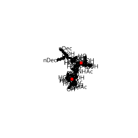 CCCCCCCCCCCCC/C=C/[C@@H](O)[C@H](CO[C@@H]1OC(CO)[C@@H](O[C@@H]2OC(CO)[C@H](O[C@@H]3OC(CO)[C@H](O)[C@H](O[C@@H]4OC(CO)[C@H](O[C@@H]5OC(CO)[C@H](O)[C@H](O)C5NC(C)=O)[C@H](O[C@]5(C(=O)O)CC(O)[C@@H](NC(C)=O)C([C@H](O)[C@H](O)CO)O5)C4O)C3NC(C)=O)[C@H](O[C@]3(C(=O)O)CC(O)[C@@H](NC(=O)CO)C([C@H](O)[C@H](O)CO)O3)C2O)[C@H](O)C1O)NC(=O)CCCCCCCCCCCCCCC